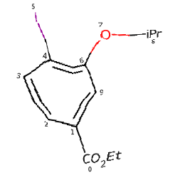 CCOC(=O)c1ccc(I)c(OC(C)C)c1